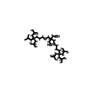 CC(C)CS(CCCOCC(CO)(CO)COCCCS(CC(C)C)(CC(C)C)CC(C)C)(CC(C)C)CC(C)C